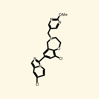 COc1ncc(CN2CCOc3c(Cl)cc(-c4ncc5cc(Cl)ccn45)cc3C2)cn1